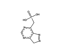 O=P(O)(O)Cc1ncnc2c1N=NC2